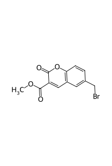 COC(=O)c1cc2cc(CBr)ccc2oc1=O